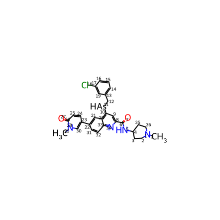 CN1CCC(NC(=O)c2cc([AsH]Cc3cccc(Cl)c3)c3cc(-c4ccc(=O)n(C)c4)ccc3n2)CC1